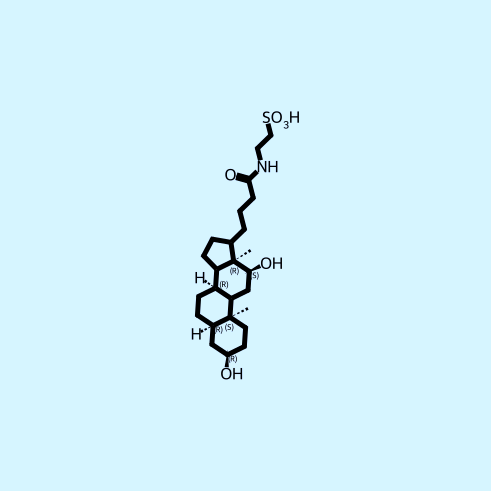 C[C@@]12C(CCCC(=O)NCCS(=O)(=O)O)CCC1[C@@H]1CC[C@@H]3C[C@H](O)CC[C@]3(C)C1C[C@@H]2O